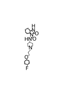 O=C(NC1CCN(CCCOc2ccc(F)cc2)CC1)n1c(=O)[nH]c2ccccc21